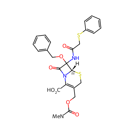 CNC(=O)OCC1=C(C(=O)O)N2C(=O)C(NC(=O)CSc3ccccc3)(OCc3ccccc3)[C@@H]2SC1